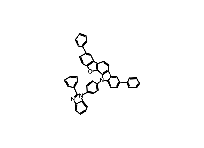 c1ccc(-c2ccc3oc4c(ccc5c6cc(-c7ccccc7)ccc6n(-c6ccc(-n7c(-c8ccccc8)nc8ccccc87)cc6)c54)c3c2)cc1